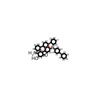 Nc1cc2c(cc1O)oc1cc(N(c3ccc(-c4ccccc4)cc3)c3ccccc3-c3ccc(-c4ccccc4)cc3)ccc12